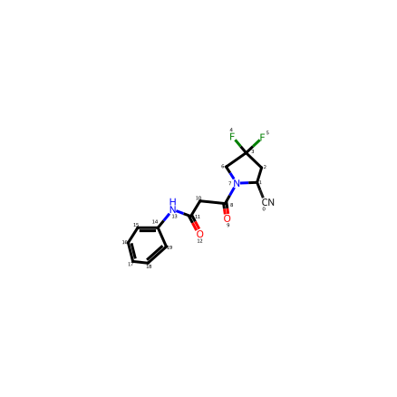 N#CC1CC(F)(F)CN1C(=O)CC(=O)Nc1ccccc1